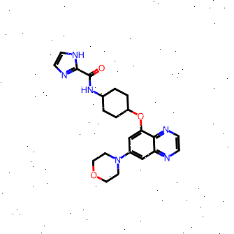 O=C(NC1CCC(Oc2cc(N3CCOCC3)cc3nccnc23)CC1)c1ncc[nH]1